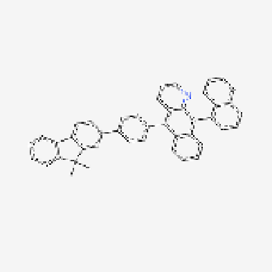 CC1(C)c2ccccc2-c2ccc(-c3ccc(-c4c5ccccc5c(-c5cccc6ccccc56)c5ncccc45)cc3)cc21